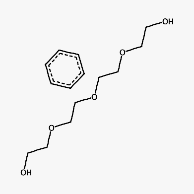 OCCOCCOCCOCCO.c1ccccc1